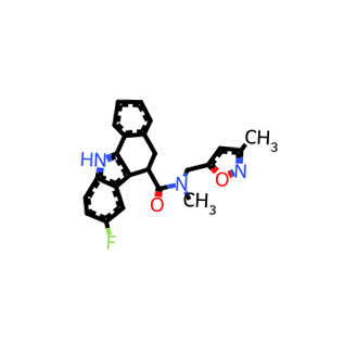 Cc1cc(CN(C)C(=O)C2Cc3ccccc3-c3[nH]c4ccc(F)cc4c32)on1